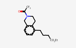 CCOC(=O)CCCc1cccc2c1CCN(C(=O)C(F)(F)F)C2